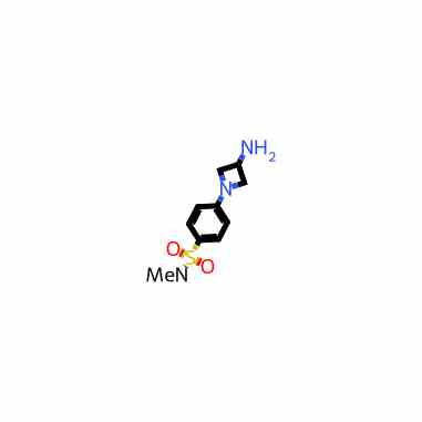 CNS(=O)(=O)c1ccc(N2CC(N)C2)cc1